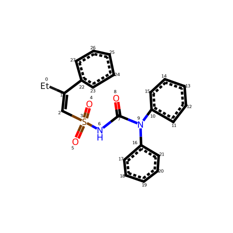 CCC(=CS(=O)(=O)NC(=O)N(c1ccccc1)c1ccccc1)c1ccccc1